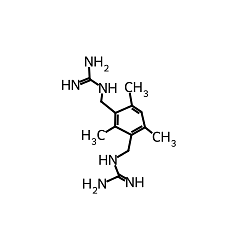 Cc1cc(C)c(CNC(=N)N)c(C)c1CNC(=N)N